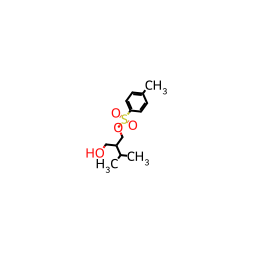 Cc1ccc(S(=O)(=O)OCC(CO)C(C)C)cc1